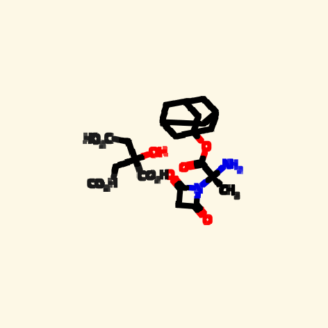 C[C@](N)(C(=O)OC12CC3CC(CC(C3)C1)C2)N1C(=O)CC1=O.O=C(O)CC(O)(CC(=O)O)C(=O)O